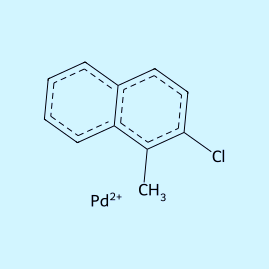 Cc1c(Cl)ccc2ccccc12.[Pd+2]